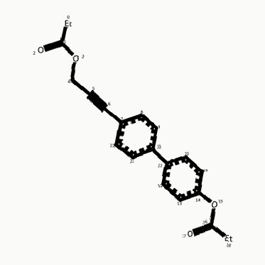 CCC(=O)OCC#Cc1ccc(-c2ccc(OC(=O)CC)cc2)cc1